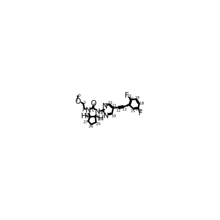 COCCN1C(=O)N(c2ncc(C#Cc3cc(F)ccc3F)cn2)[C@@H]2CCC[C@@H]21